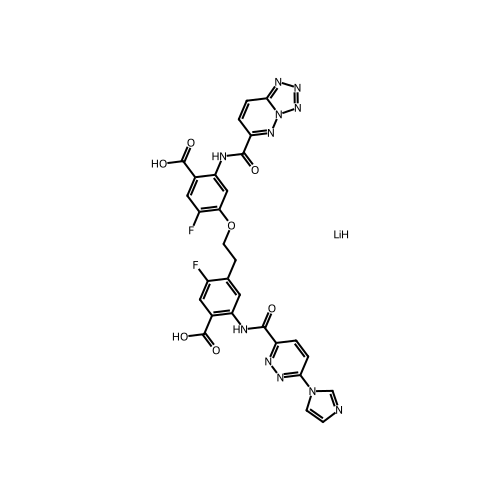 O=C(Nc1cc(CCOc2cc(NC(=O)c3ccc4nnnn4n3)c(C(=O)O)cc2F)c(F)cc1C(=O)O)c1ccc(-n2ccnc2)nn1.[LiH]